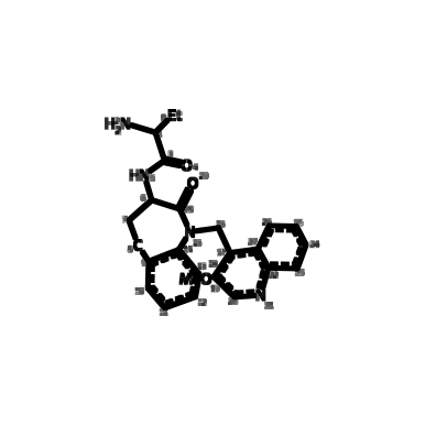 CCC(N)C(=O)NC1CCc2ccccc2N(Cc2c(OC)cnc3ccccc23)C1=O